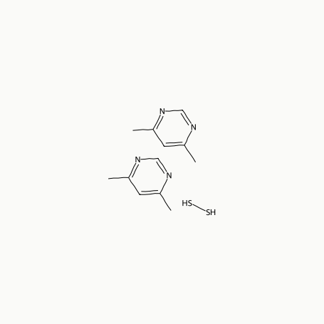 Cc1cc(C)ncn1.Cc1cc(C)ncn1.SS